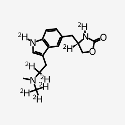 [2H]N1C(=O)OC[C@]1([2H])Cc1ccc2c(c1)c(CC([2H])([2H])N(C)C([2H])([2H])[2H])cn2[2H]